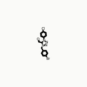 O=CC1N(Cc2ccc(Br)cc2)N=NN1c1ccc(Cl)cc1